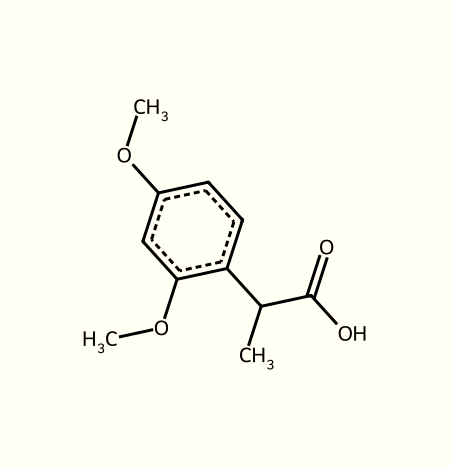 COc1ccc(C(C)C(=O)O)c(OC)c1